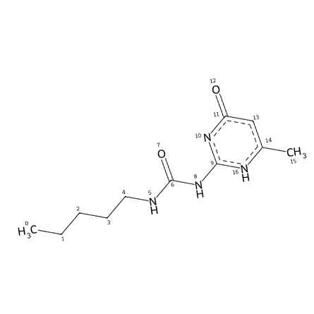 CCCCCNC(=O)Nc1nc(=O)cc(C)[nH]1